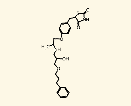 CC(COc1ccc(CC2SC(=O)NC2=O)cc1)NCC(O)COCCCc1ccccc1